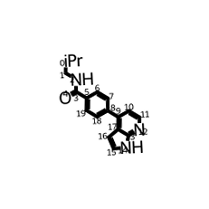 CC(C)CNC(=O)c1ccc(-c2ccnc3[nH]ccc23)cc1